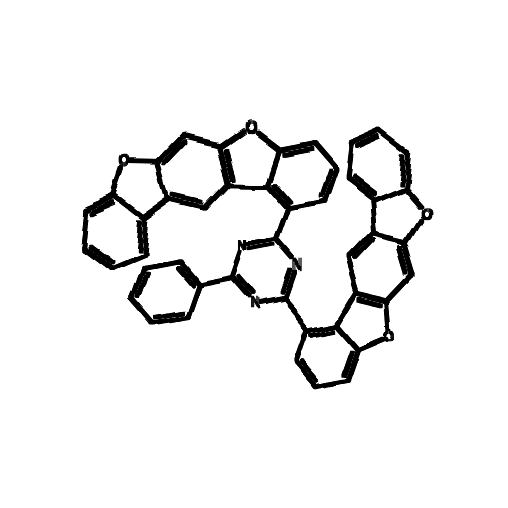 c1ccc(-c2nc(-c3cccc4oc5cc6oc7ccccc7c6cc5c34)nc(-c3cccc4oc5cc6oc7ccccc7c6cc5c34)n2)cc1